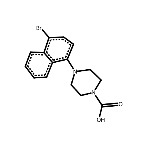 O=C(O)N1CCN(c2ccc(Br)c3ccccc23)CC1